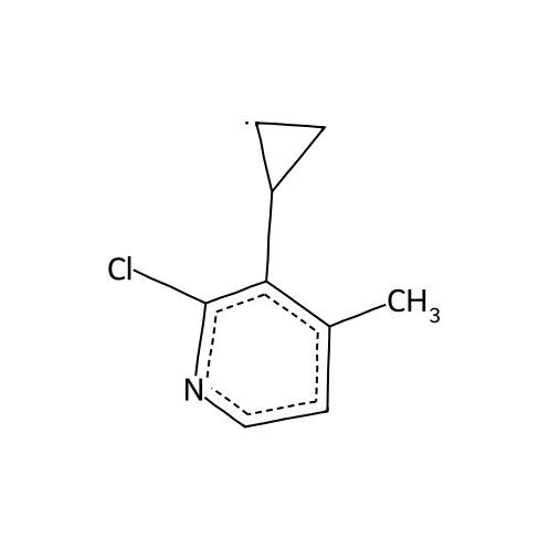 Cc1ccnc(Cl)c1C1[CH]C1